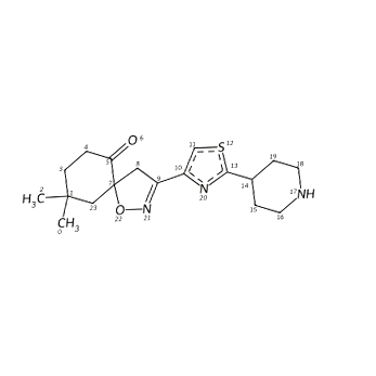 CC1(C)CCC(=O)C2(CC(c3csc(C4CCNCC4)n3)=NO2)C1